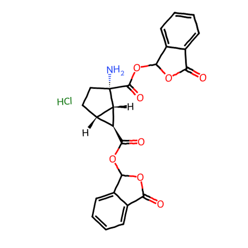 Cl.N[C@@]1(C(=O)OC2OC(=O)c3ccccc32)CC[C@H]2[C@H](C(=O)OC3OC(=O)c4ccccc43)[C@H]21